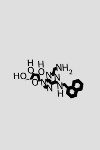 NCc1nc(NCc2cccc3ccccc23)c2ncn([C@@H]3O[C@H](CO)[C@@H](O)[C@H]3O)c2n1